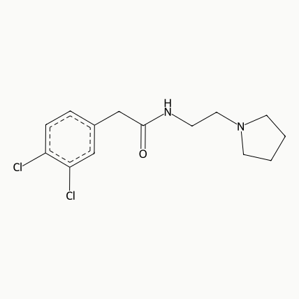 O=C(Cc1ccc(Cl)c(Cl)c1)NCCN1CCCC1